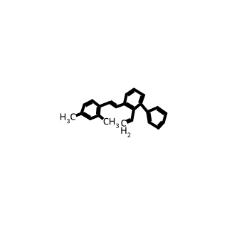 C=Cc1c(C=Cc2ccc(C)cc2C)cccc1-c1ccccc1